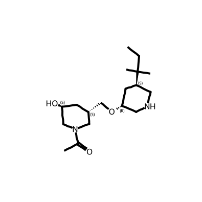 CCC(C)(C)[C@H]1CNC[C@H](OC[C@H]2C[C@H](O)CN(C(C)=O)C2)C1